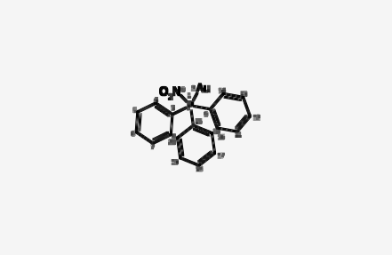 O=[N+]([O-])[P]([Au])(c1ccccc1)(c1ccccc1)c1ccccc1